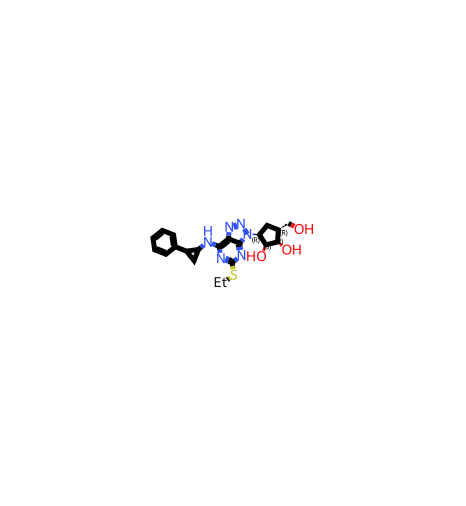 CCSc1nc(NC2CC2c2ccccc2)c2nnn([C@@H]3C[C@H](CO)[C@@H](O)[C@H]3O)c2n1